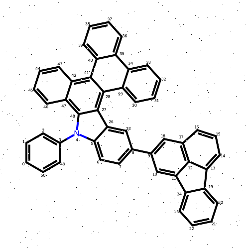 c1ccc(-n2c3ccc(-c4cc5c6c(cccc6c4)-c4ccccc4-5)cc3c3c4c5ccccc5c5ccccc5c4c4ccccc4c32)cc1